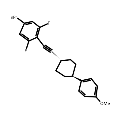 CCCc1cc(F)c(C#C[C@H]2CC[C@H](c3ccc(OC)cc3)CC2)c(F)c1